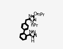 CCCOc1nc(Cc2ccc(-c3ccccc3-c3nnn[nH]3)cc2)n(CCC)n1